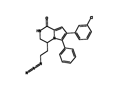 [N-]=[N+]=NCCC1CNC(=O)c2cc(-c3cccc(Cl)c3)c(-c3ccccc3)n21